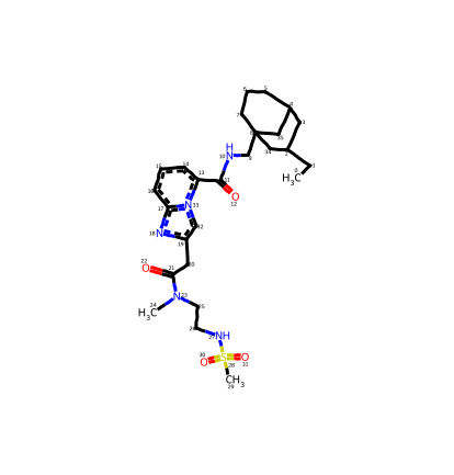 CCC1CC2CCCC(CNC(=O)c3cccc4nc(CC(=O)N(C)CCNS(C)(=O)=O)cn34)(C1)C2